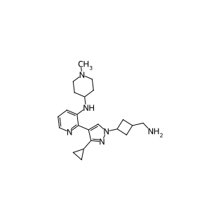 CN1CCC(Nc2cccnc2-c2cn(C3CC(CN)C3)nc2C2CC2)CC1